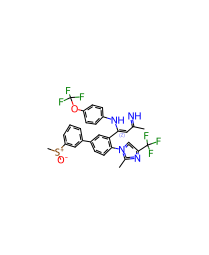 CC(=N)/C=C(\Nc1ccc(OC(F)(F)F)cc1)c1cc(-c2cccc([S+](C)[O-])c2)ccc1-n1cc(C(F)(F)F)nc1C